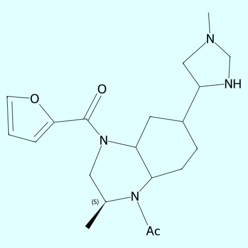 CC(=O)N1C2CCC(C3CN(C)CN3)CC2N(C(=O)c2ccco2)C[C@@H]1C